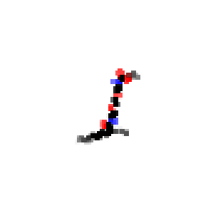 CNCCCCC(NC)C(=O)NCCOCCOCCNC(=O)OC(C)(C)C